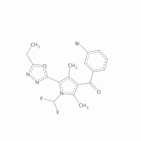 CCc1nnc(-c2c(C)c(C(=O)c3cccc(Br)c3)c(C)n2C(F)F)o1